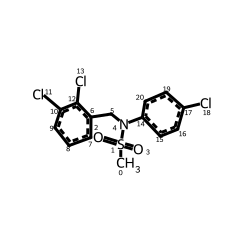 CS(=O)(=O)N(Cc1cccc(Cl)c1Cl)c1ccc(Cl)cc1